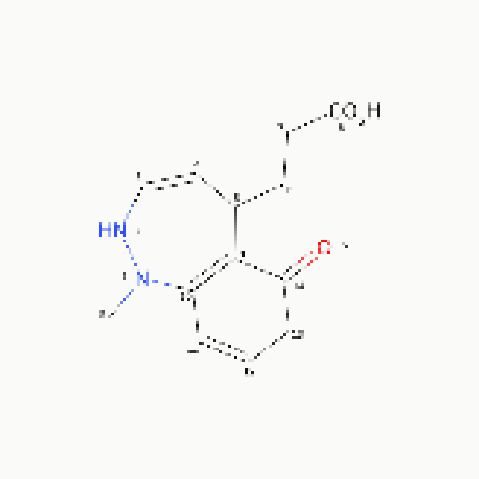 CN1NC=CC(CCC(=O)O)C2=C1C=CCC2=O